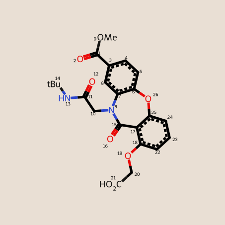 COC(=O)c1ccc2c(c1)N(CC(=O)NC(C)(C)C)C(=O)c1c(OCC(=O)O)cccc1O2